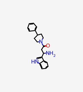 NC(CC(=O)N1CCC(c2ccccc2)CC1)c1c[nH]c2ccccc12